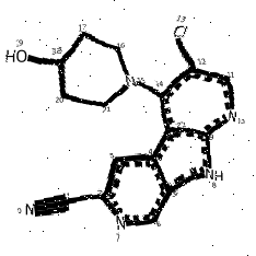 N#Cc1cc2c(cn1)[nH]c1ncc(Cl)c(N3CCC(O)CC3)c12